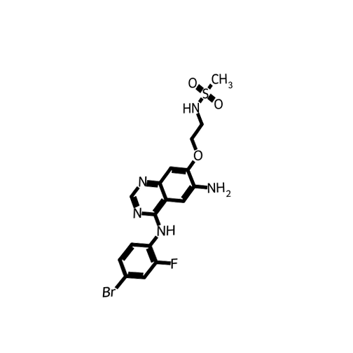 CS(=O)(=O)NCCOc1cc2ncnc(Nc3ccc(Br)cc3F)c2cc1N